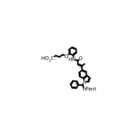 CCCCCC(c1ccccc1)n1ccc2cc(/C(C)=C/C(=O)Nc3ccccc3OCCCC(=O)O)ccc21